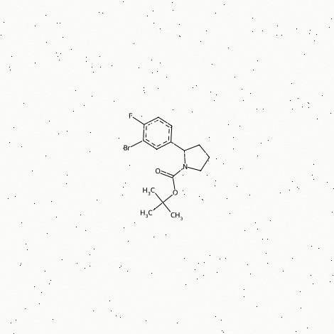 CC(C)(C)OC(=O)N1CCCC1c1ccc(F)c(Br)c1